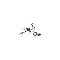 CCN(CC)CCCCC(N)C(=O)Nc1cc(-c2ccnc(NC)n2)cc2ccc(OC)cc12